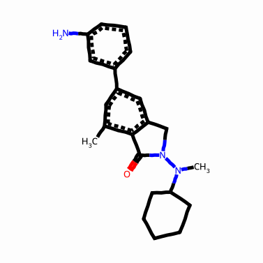 Cc1cc(-c2cccc(N)c2)cc2c1C(=O)N(N(C)C1CCCCC1)C2